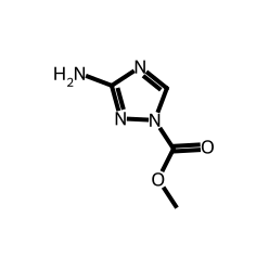 COC(=O)n1cnc(N)n1